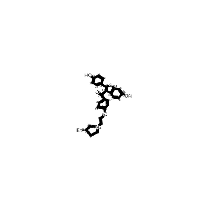 CC[C@@H]1CCN(CCOc2ccc(C(=O)c3c(-c4ccc(O)cc4)sc4cc(O)ccc34)cc2)C1